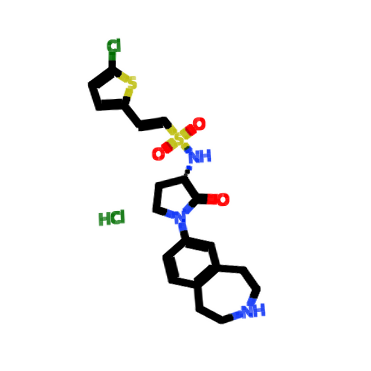 Cl.O=C1[C@@H](NS(=O)(=O)C=Cc2ccc(Cl)s2)CCN1c1ccc2c(c1)CCNCC2